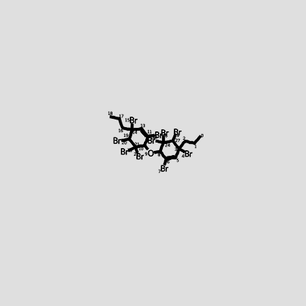 CCCC1(Br)C=C(Br)C(OC2C(Br)=CC(Br)(CCC)C(Br)C2(Br)Br)C(Br)(Br)C1Br